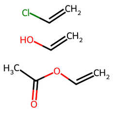 C=CCl.C=CO.C=COC(C)=O